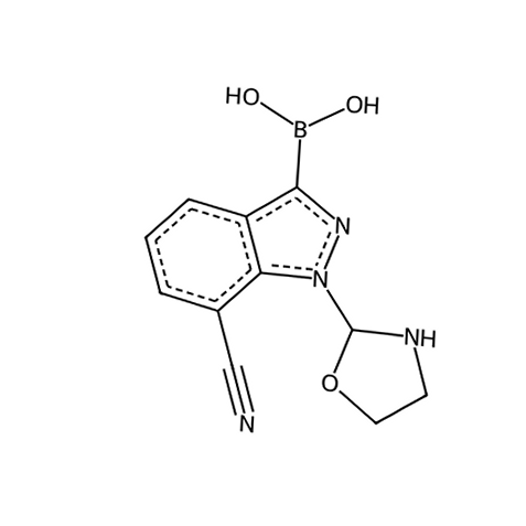 N#Cc1cccc2c(B(O)O)nn(C3NCCO3)c12